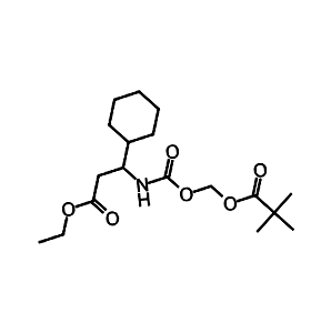 CCOC(=O)CC(NC(=O)OCOC(=O)C(C)(C)C)C1CCCCC1